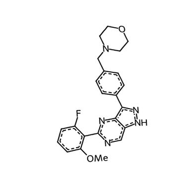 COc1cccc(F)c1-c1ncc2[nH]nc(-c3ccc(CN4CCOCC4)cc3)c2n1